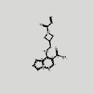 C=CC(=O)N1CC(CNc2c(C(N)=O)cnn3cccc23)C1